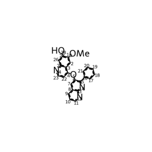 COc1cc2c(Oc3cc4cccnc4nc3-c3ccccc3)ccnc2cc1O